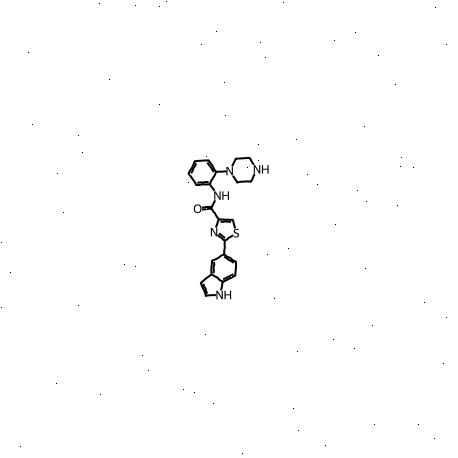 O=C(Nc1ccccc1N1CCNCC1)c1csc(-c2ccc3[nH]ccc3c2)n1